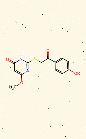 COc1cc(=O)[nH]c(SCC(=O)c2ccc(O)cc2)n1